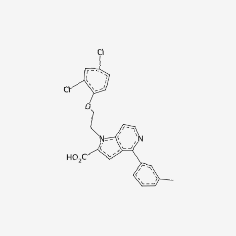 Cc1cccc(-c2nccc3c2cc(C(=O)O)n3CCOc2ccc(Cl)cc2Cl)c1